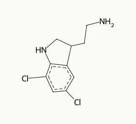 NCCC1CNc2c(Cl)cc(Cl)cc21